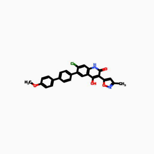 COc1ccc(-c2ccc(-c3cc4c(O)c(-c5cc(C)no5)c(=O)[nH]c4cc3Cl)cc2)cc1